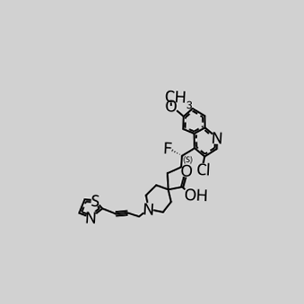 COc1ccc2ncc(Cl)c([C@@H](F)CCC3(C(=O)O)CCN(CC#Cc4nccs4)CC3)c2c1